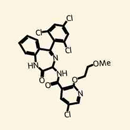 COCCOc1ncc(Cl)cc1C(=O)NC1N=C(c2c(Cl)cc(Cl)cc2Cl)c2ccccc2NC1=O